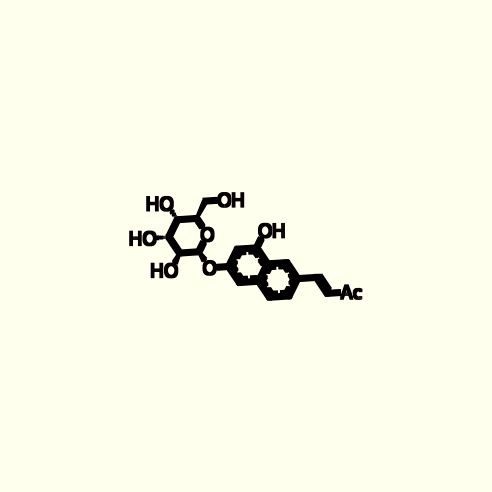 CC(=O)/C=C/c1ccc2cc(O[C@@H]3O[C@H](CO)[C@@H](O)[C@@H](O)[C@@H]3O)cc(O)c2c1